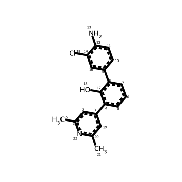 Cc1cc(-c2cccc(-c3ccc(N)c(Cl)c3)c2O)cc(C)n1